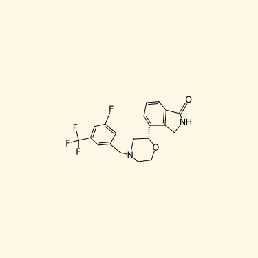 O=C1NCc2c1cccc2[C@H]1CN(Cc2cc(F)cc(C(F)(F)F)c2)CCO1